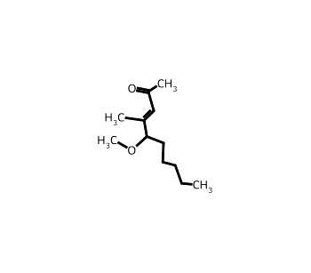 CCCCCC(OC)C(C)=CC(C)=O